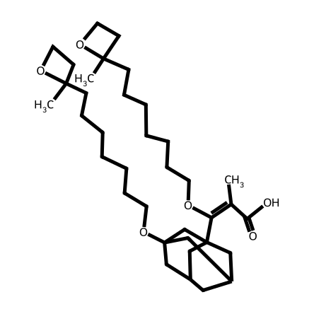 CC(C(=O)O)=C(OCCCCCCCC1(C)CCO1)C12CC3CC(CC(OCCCCCCCC4(C)CCO4)(C3)C1)C2